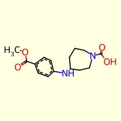 COC(=O)c1ccc(NC2CCCN(C(=O)O)CC2)cc1